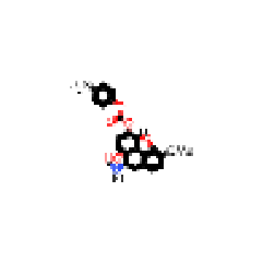 CCN(C)C1Cc2ccc(OC)c3c2C2[C@@H](O3)C(OC(=O)Oc3ccc([N+](=O)[O-])cc3)=CC[C@]21O